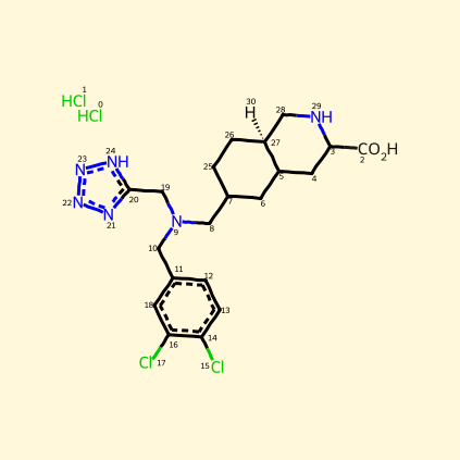 Cl.Cl.O=C(O)C1CC2CC(CN(Cc3ccc(Cl)c(Cl)c3)Cc3nnn[nH]3)CC[C@H]2CN1